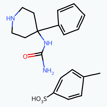 Cc1ccc(S(=O)(=O)O)cc1.NC(=O)NC1(c2ccccc2)CCNCC1